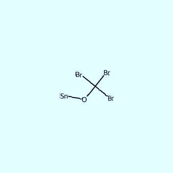 BrC(Br)(Br)[O][Sn]